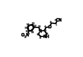 N#CCCOCC1CNCCN1Cc1cccc([N+](=O)[O-])c1